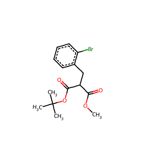 COC(=O)C(Cc1ccccc1Br)C(=O)OC(C)(C)C